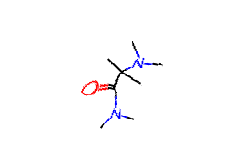 CN(C)C(=O)C(C)(C)N(C)C